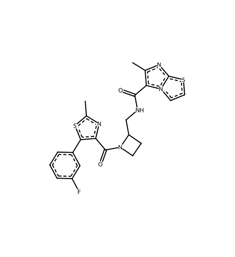 Cc1nc(C(=O)N2CCC2CNC(=O)c2c(C)nc3sccn23)c(-c2cccc(F)c2)s1